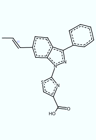 C/C=C/c1ccc2c(-c3ccccc3)nn(-c3nc(C(=O)O)cs3)c2c1